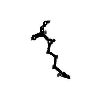 CCCCCCCO[SH](=O)=O